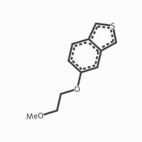 COCCOc1ccc2cscc2c1